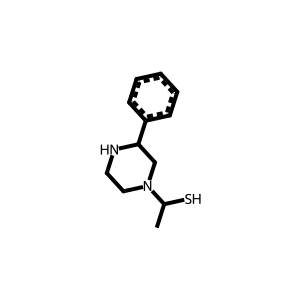 CC(S)N1CCNC(c2ccccc2)C1